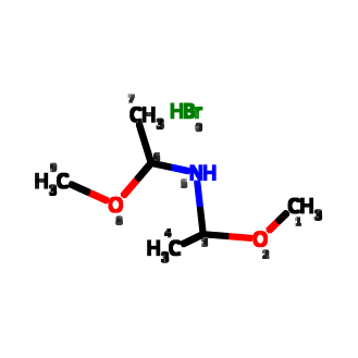 Br.COC(C)NC(C)OC